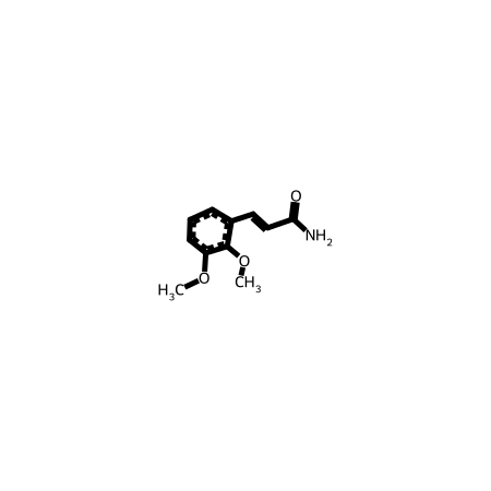 COc1cccc(C=CC(N)=O)c1OC